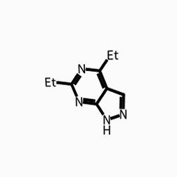 CCc1nc(CC)c2cn[nH]c2n1